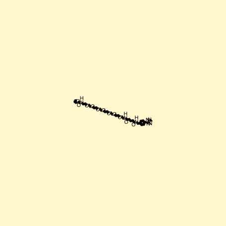 CC(C)(C)OC(=O)NCCOCCOCCOCCOCCOCCOCCOCCNC(=O)CCCC(=O)NCc1ccc(-c2nncnn2)cc1